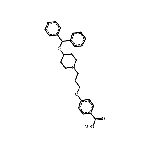 COC(=O)c1ccc(OCCCN2CCC(OC(c3ccccc3)c3ccccc3)CC2)cc1